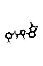 O=C(Nc1ccnc(C(F)(F)F)c1)c1cnn(-c2cccc3c[nH]c(=O)cc23)c1C(F)(F)F